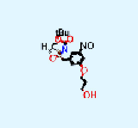 CC(C)(C)OC(=O)N=S(C)(=O)Cc1cc(N=O)cc(OCCCO)c1